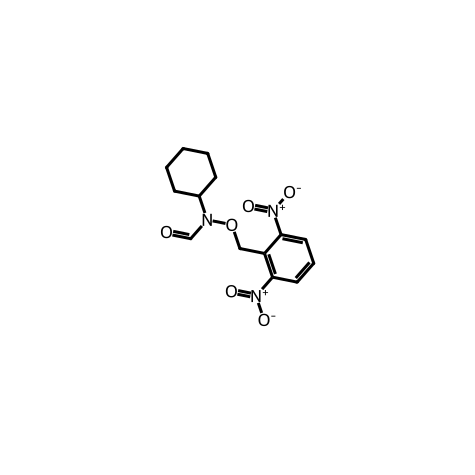 O=CN(OCc1c([N+](=O)[O-])cccc1[N+](=O)[O-])C1CCCCC1